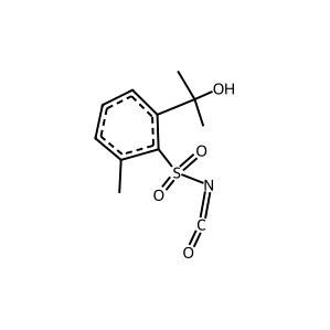 Cc1cccc(C(C)(C)O)c1S(=O)(=O)N=C=O